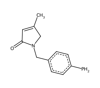 CC1=CC(=O)N(Cc2ccc(P)cc2)C1